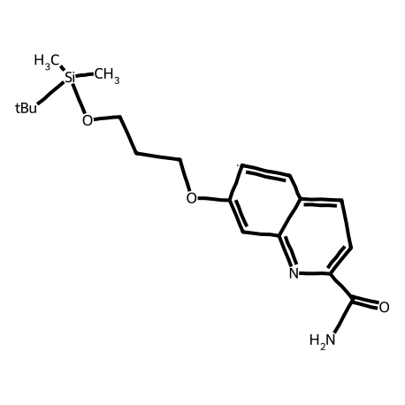 CC(C)(C)[Si](C)(C)OCCCOc1[c]cc2ccc(C(N)=O)nc2c1